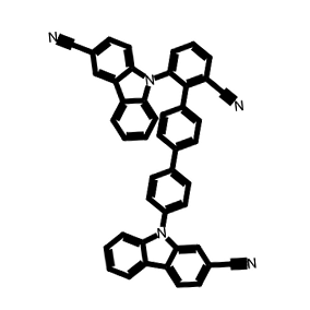 N#Cc1ccc2c(c1)c1ccccc1n2-c1cccc(C#N)c1-c1ccc(-c2ccc(-n3c4ccccc4c4ccc(C#N)cc43)cc2)cc1